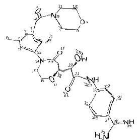 Cc1cc(C(=O)N2CCOCC2)cc(N2CCO[C@H]([C@@H](O)C(=O)Nc3ccc(C(=N)N)cc3)C2=O)c1